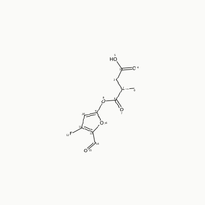 CC(CC(=O)O)C(=O)Oc1cc(F)c(C=O)o1